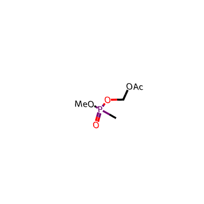 COP(C)(=O)OCOC(C)=O